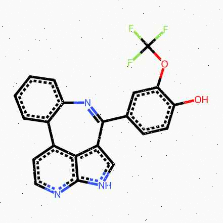 Oc1ccc(C2=Nc3ccccc3-c3ccnc4[nH]cc2c34)cc1OC(F)(F)F